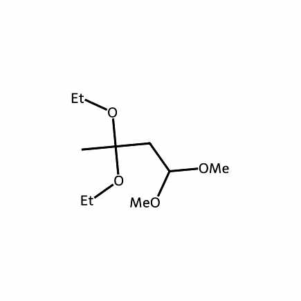 CCOC(C)(CC(OC)OC)OCC